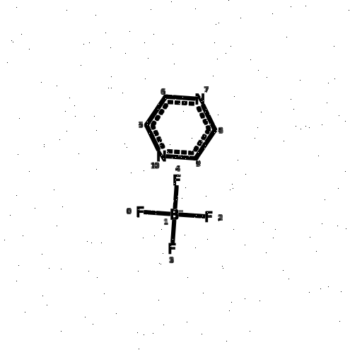 F[B-](F)(F)F.c1cnccn1